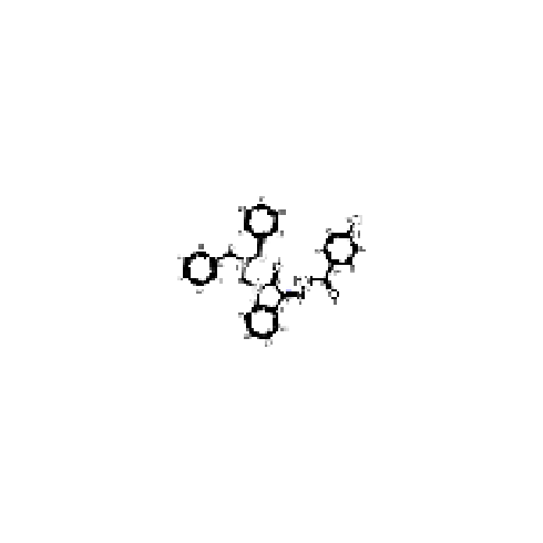 O=C(N/N=C1\C(=O)N(CN(Cc2ccccc2)Cc2ccccc2)c2ccccc21)c1ccc(Cl)cc1